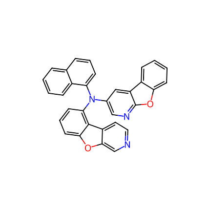 c1ccc2c(N(c3cnc4oc5ccccc5c4c3)c3cccc4oc5cnccc5c34)cccc2c1